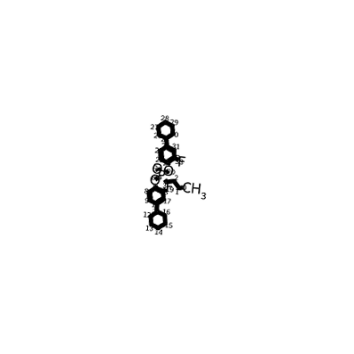 CCCCP(=O)(Oc1ccc(C2CCCCC2)cc1F)Oc1ccc(C2CCCCC2)cc1F